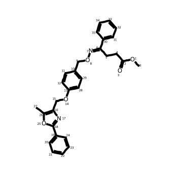 COC(=O)CC/C(=N\OCc1ccc(OCc2nc(-c3ccccc3)oc2C)cc1)c1ccccc1